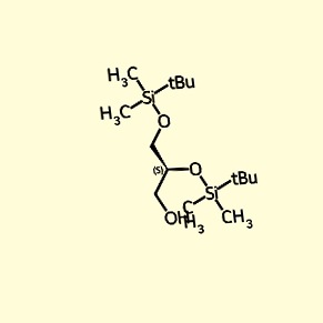 CC(C)(C)[Si](C)(C)OC[C@H](CO)O[Si](C)(C)C(C)(C)C